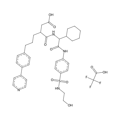 O=C(O)C(F)(F)F.O=C(O)CC(CCCc1ccc(-c2ccncc2)cc1)C(=O)NC(C(=O)Nc1ccc(S(=O)(=O)NCCO)cc1)C1CCCCC1